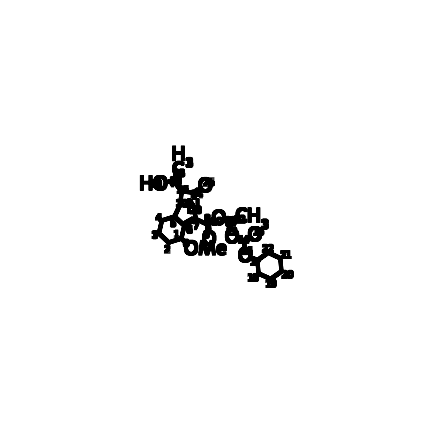 COC1CCCC2C1=C(C(=O)O[C@H](C)OC(=O)OC1CCCCC1)N1C(=O)C([C@@H](C)O)C21